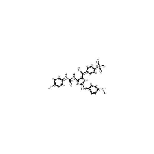 COc1ccc(Nc2nc(NC(=O)Nc3ccc(F)cc3)c(C(=O)c3ccc(S(C)(=O)=O)cc3)s2)cc1